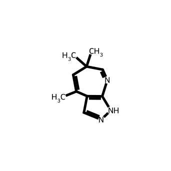 CC1=CC(C)(C)C=Nc2[nH]ncc21